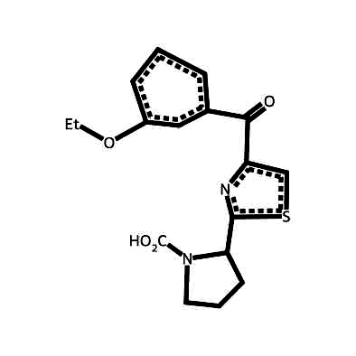 CCOc1cccc(C(=O)c2csc(C3CCCN3C(=O)O)n2)c1